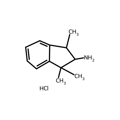 CC1c2ccccc2C(C)(C)C1N.Cl